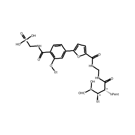 CCCCC[C@@H](C(=O)NCNC(=O)c1ccc(-c2ccc(C(=O)NCP(=O)(O)O)c(OCC)c2)o1)[C@@H](CC)N(O)C=O